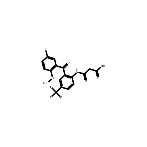 COc1ccc(Cl)cc1C(=O)c1cc(C(F)(F)F)ccc1NC(=O)CC(=O)O